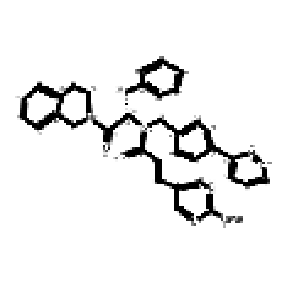 COc1ncc(C=CC(=O)N(Cc2ccc(-c3cccnn3)cc2)[C@@H](Cc2ccccc2)C(=O)N2CCc3ccccc3C2)cn1